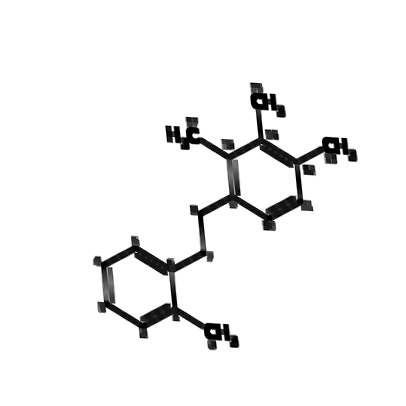 Cc1ccccc1CCc1ccc(C)c(C)c1C